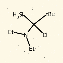 CCN(CC)C([SiH3])(Cl)C(C)(C)C